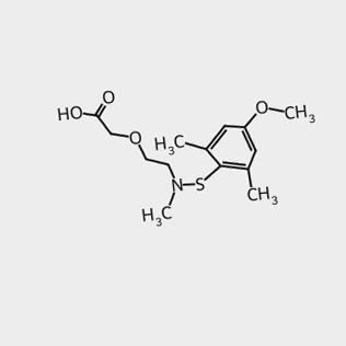 COc1cc(C)c(SN(C)CCOCC(=O)O)c(C)c1